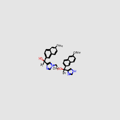 COc1ccc2cc(C(O)(c3c[nH]cn3)C(C)C)ccc2c1.COc1ccc2cc(C(O)(c3cn(COC(C)=O)cn3)C(C)C)ccc2c1